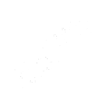 CC1=NS(=O)(=O)c2cc3c(=O)n(-c4ccc(NC(=O)NS(=O)(=O)c5ccc(C)s5)cc4)c(=O)[nH]c3cc2N1